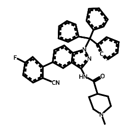 CN1CCC(C(=O)Nc2nn(C(c3ccccc3)(c3ccccc3)c3ccccc3)c3ccc(-c4cc(F)ccc4C#N)cc23)CC1